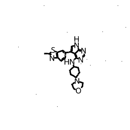 Cc1nc2ccc(-c3c[nH]c4ncnc(NC5CCC(N6CCOCC6)CC5)c34)cc2s1